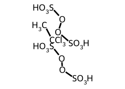 CC(Cl)(Cl)Cl.O=S(=O)(O)OOS(=O)(=O)O.O=S(=O)(O)OOS(=O)(=O)O